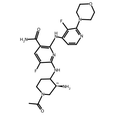 CC(=O)N1CCC(Nc2nc(Nc3ccnc(N4CCOCC4)c3F)c(C(N)=O)cc2F)[C@@H](N)C1